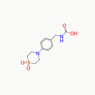 O=C(O)NCc1ccc(N2CCS(=O)(=O)CC2)cc1